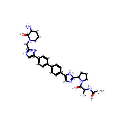 COC(=O)NC(C(=O)N1CCCC1c1ncc(-c2ccc(-c3ccc(-c4cnc(CN5CCCC(N)C5=O)[nH]4)cc3)cc2)[nH]1)C(C)C